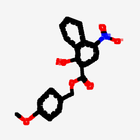 COc1ccc(COC(=O)c2cc([N+](=O)[O-])c3ccccc3c2O)cc1